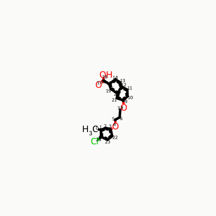 Cc1cc(OCCCOc2ccc3ccc(C(=O)O)cc3c2)ccc1Cl